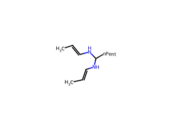 CC=CNC(CCCCC)NC=CC